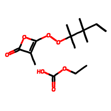 CCC(C)(C)C(C)(C)OOC1=C(C)C(=O)O1.CCOC(=O)O